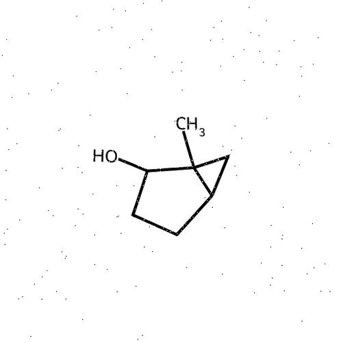 CC12CC1CCC2O